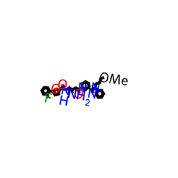 COCCCn1c([C@@H]2CCCN(C(=O)C[C@@H](N)CNC(=O)c3ccc(-c4ccccc4F)o3)C2)nc2ccccc21